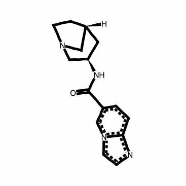 O=C(N[C@@H]1C[C@H]2CCN(C2)C1)c1ccc2nccn2c1